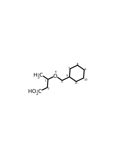 CC(CC(=O)O)OCC1CCCCC1